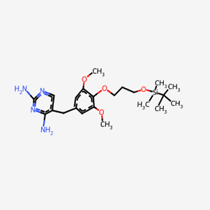 COc1cc(Cc2cnc(N)nc2N)cc(OC)c1OCCCO[Si](C)(C)C(C)(C)C